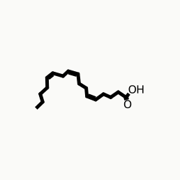 CCCC/C=C\C/C=C\CC/C=C\CCCC(=O)O